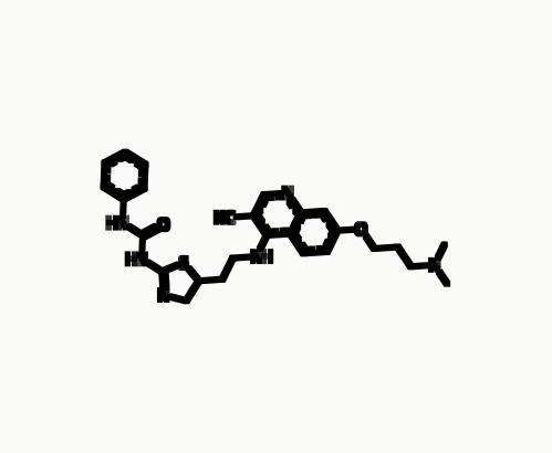 CN(C)CCCOc1ccc2c(NCCC3CN=C(NC(=O)Nc4ccccc4)S3)c(C#N)cnc2c1